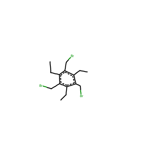 CCc1c(CBr)c(CC)c(CBr)c(CC)c1CBr